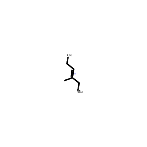 CCCCC/C(C)=C/CC#N